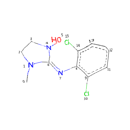 CN1CCN(O)C1=Nc1c(Cl)cccc1Cl